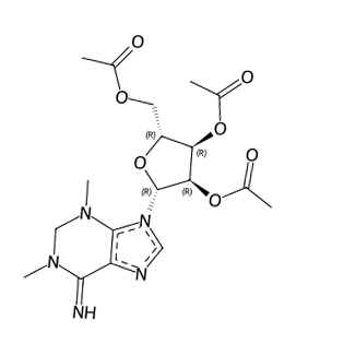 CC(=O)OC[C@H]1O[C@@H](n2cnc3c2N(C)CN(C)C3=N)[C@H](OC(C)=O)[C@@H]1OC(C)=O